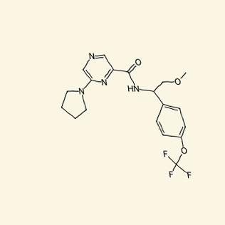 COCC(NC(=O)c1cncc(N2CCCC2)n1)c1ccc(OC(F)(F)F)cc1